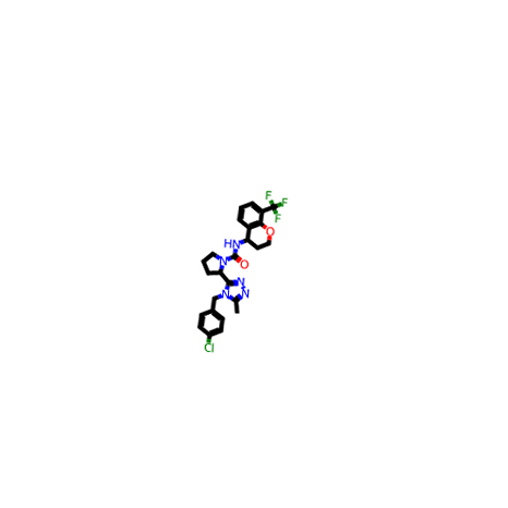 Cc1nnc(C2CCCN2C(=O)NC2CCOc3c2cccc3C(F)(F)F)n1Cc1ccc(Cl)cc1